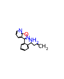 C=CCC(N)c1ccccc1-c1noc2ncccc12